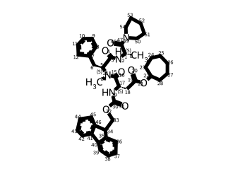 C[C@H](NC(=O)[C@H](Cc1ccccc1)N(C)C(=O)[C@H](CC(=O)OC1CCCCCC1)NC(=O)OCC1c2ccccc2-c2ccccc21)C(=O)N1CCCCC1